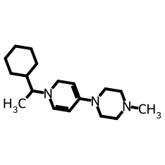 CC(C1CCCCC1)N1C=CC(N2CCN(C)CC2)=CC1